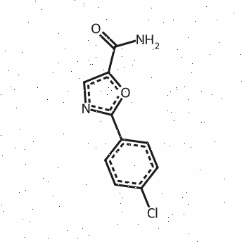 NC(=O)c1cnc(-c2ccc(Cl)cc2)o1